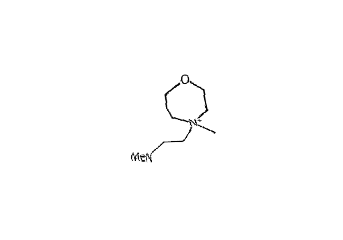 CNCC[N+]1(C)CCOCC1